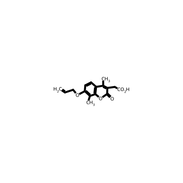 C=CCOc1ccc2c(C)c(CC(=O)O)c(=O)oc2c1C